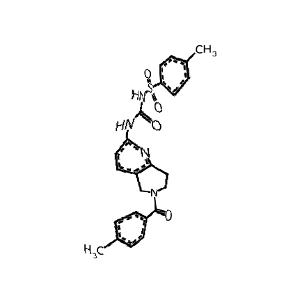 Cc1ccc(C(=O)N2CCc3nc(NC(=O)NS(=O)(=O)c4ccc(C)cc4)ccc3C2)cc1